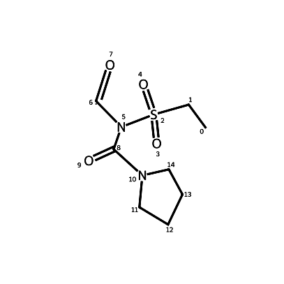 CCS(=O)(=O)N([C]=O)C(=O)N1CCCC1